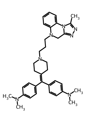 Cc1nnc2n1-c1ccccc1N(CCCN1CCC(=C(c3ccc(N(C)C)cc3)c3ccc(N(C)C)cc3)CC1)C2